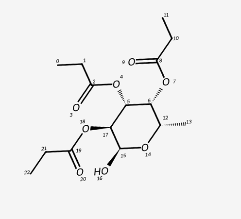 CCC(=O)O[C@@H]1[C@H](OC(=O)CC)[C@H](C)O[C@@H](O)[C@H]1OC(=O)CC